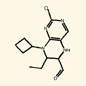 CCC1C(C=O)Nc2cnc(Cl)nc2N1C1CCC1